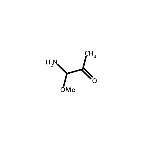 CO[C](N)C(C)=O